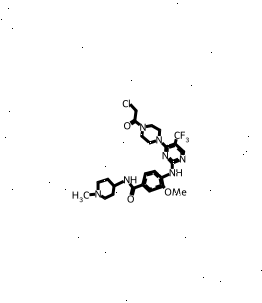 COc1cc(C(=O)NC2CCN(C)CC2)ccc1Nc1ncc(C(F)(F)F)c(N2CCN(C(=O)CCl)CC2)n1